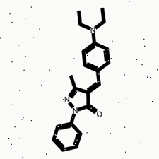 CCN(CC)c1ccc(C=C2C(=O)N(c3ccccc3)N=C2C)cc1